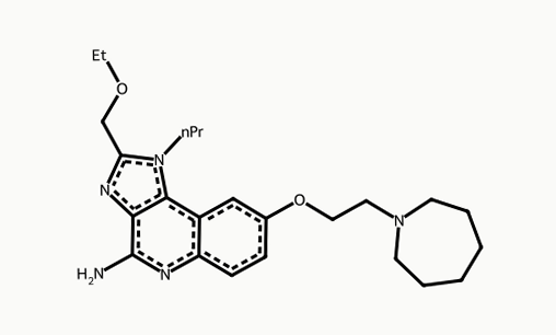 CCCn1c(COCC)nc2c(N)nc3ccc(OCCN4CCCCCC4)cc3c21